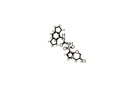 CCC1COc2c(S(=O)(=O)NC(=O)Nc3c4c(cc5c3CCC5)CCC4)ccn2C1